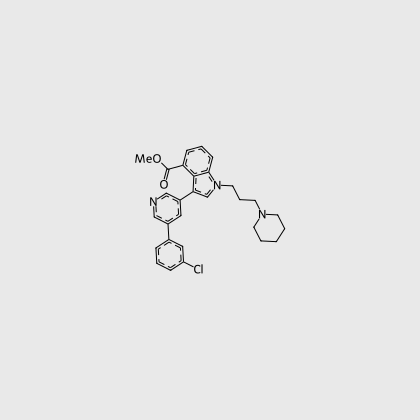 COC(=O)c1cccc2c1c(-c1cncc(-c3cccc(Cl)c3)c1)cn2CCCN1CCCCC1